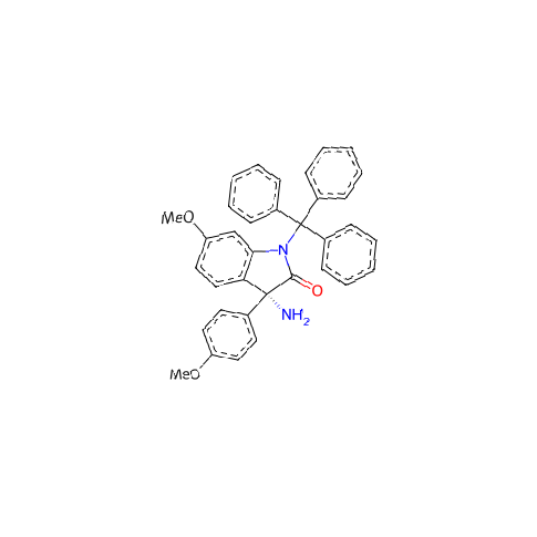 COc1ccc([C@]2(N)C(=O)N(C(c3ccccc3)(c3ccccc3)c3ccccc3)c3cc(OC)ccc32)cc1